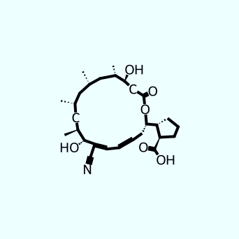 C[C@@H]1C[C@H](C)C[C@H](C)[C@@H](O)CC(=O)O[C@H]([C@@H]2CCC[C@H]2C(=O)O)C/C=C\C=C(\C#N)[C@H](O)[C@@H](C)C1